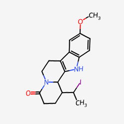 COc1ccc2[nH]c3c(c2c1)CCN1C(=O)CCC(C(C)I)C31